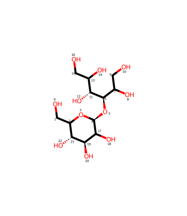 OCC1O[C@@H](O[C@H](C(O)CO)[C@H](O)C(O)CO)C(O)[C@@H](O)[C@@H]1O